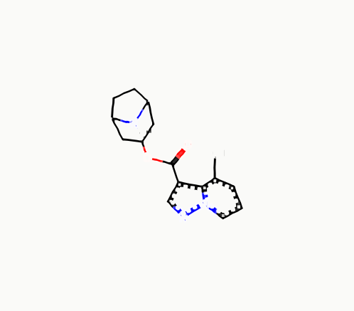 Cc1cccn2ncc(C(=O)OC3CC4CCC(C3)N4C)c12